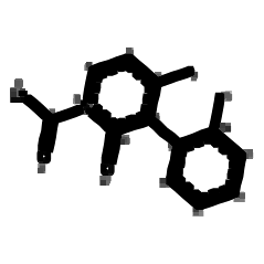 CCC(=O)n1ccc(C)c(-c2ccccc2C)c1=O